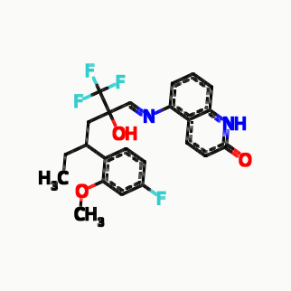 CCC(CC(O)(/C=N/c1cccc2[nH]c(=O)ccc12)C(F)(F)F)c1ccc(F)cc1OC